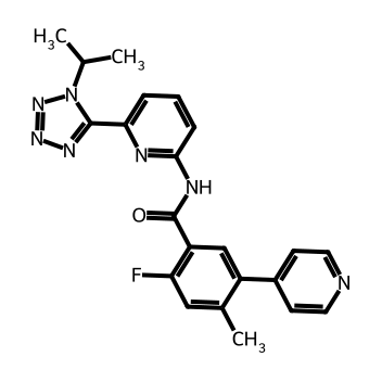 Cc1cc(F)c(C(=O)Nc2cccc(-c3nnnn3C(C)C)n2)cc1-c1ccncc1